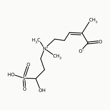 CC(=CCC[N+](C)(C)CCC(O)S(=O)(=O)O)C(=O)[O-]